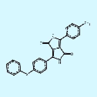 Cc1ccc(C2=C3C(=O)NC(c4ccc(Sc5ccccc5)cc4)=C3C(=O)N2)cc1